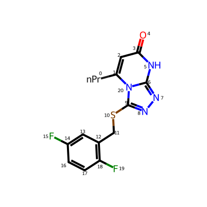 CCCc1cc(=O)[nH]c2nnc(SCc3cc(F)ccc3F)n12